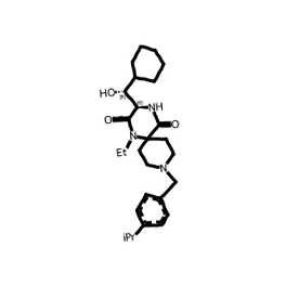 CCN1C(=O)[C@@H]([C@H](O)C2CCCCC2)NC(=O)C12CCN(Cc1ccc(C(C)C)cc1)CC2